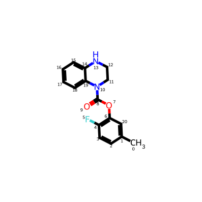 Cc1ccc(F)c(OC(=O)N2CCNc3ccccc32)c1